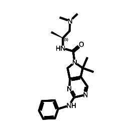 C[C@@H](CN(C)C)NC(=O)N1Cc2nc(Nc3ccccc3)ncc2C1(C)C